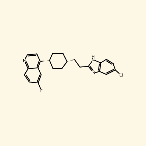 Fc1ccc2nccc([C@H]3CC[C@@H](CCc4nc5cc(Cl)ccc5[nH]4)CC3)c2c1